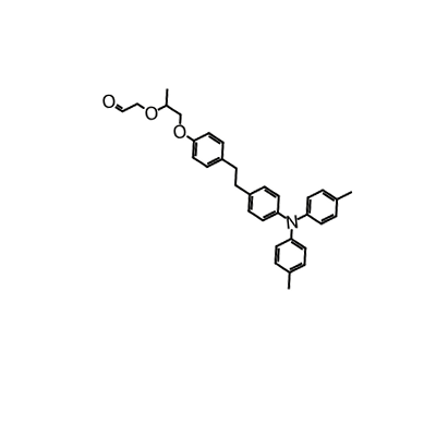 Cc1ccc(N(c2ccc(C)cc2)c2ccc(CCc3ccc(OCC(C)OCC=O)cc3)cc2)cc1